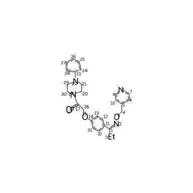 CCC(=NOCc1ccncc1)c1ccc(OCC(=O)N2CCN(c3ccccc3)CC2)cc1